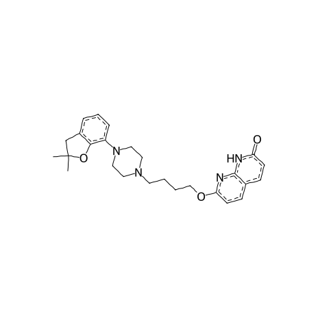 CC1(C)Cc2cccc(N3CCN(CCCCOc4ccc5ccc(=O)[nH]c5n4)CC3)c2O1